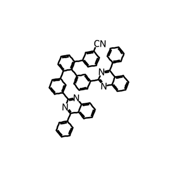 N#Cc1cccc(-c2cccc(-c3cccc(-c4nc(-c5ccccc5)c5ccccc5n4)c3)c2-c2cccc(-c3nc(-c4ccccc4)c4ccccc4n3)c2)c1